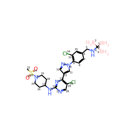 BC(B)(B)NCc1ccc(-n2cc(-c3nc(NC4CCN(S(C)(=O)=O)CC4)ncc3Cl)cn2)c(Cl)c1